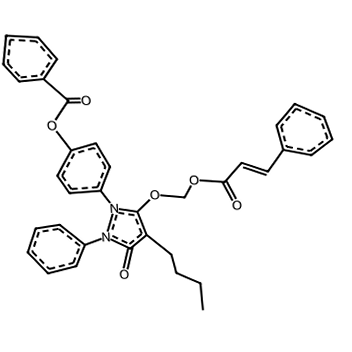 CCCCc1c(OCOC(=O)C=Cc2ccccc2)n(-c2ccc(OC(=O)c3ccccc3)cc2)n(-c2ccccc2)c1=O